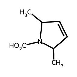 CC1C=CC(C)N1C(=O)O